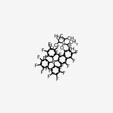 CC(C)[Si](Oc1c(F)c(F)c(F)c2c(F)c(F)c([B-](c3c(F)c(F)c(F)c(F)c3F)(c3c(F)c(F)c(F)c(F)c3F)c3c(F)c(F)c(F)c(F)c3F)c(F)c12)(C(C)C)C(C)C